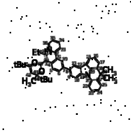 CCC(CC)[C@H](c1ccc(-c2ccc3c(c2)c2cccc4c2n3-c2ccccc2C4(C)C)cc1-c1ccccn1)C1OC(C(C)(C)C)=CC(C)(C(C)(C)C)O1